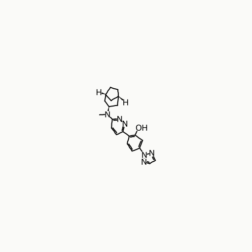 CN(c1ccc(-c2ccc(-n3nccn3)cc2O)nn1)[C@H]1C[C@@H]2CC[C@@H](C2)C1